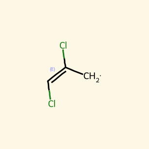 [CH2]/C(Cl)=C\Cl